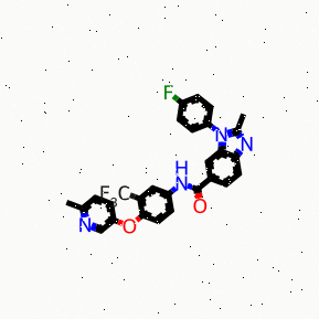 Cc1ccc(Oc2ccc(NC(=O)c3ccc4nc(C)n(-c5ccc(F)cc5)c4c3)cc2C(F)(F)F)cn1